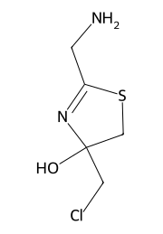 NCC1=NC(O)(CCl)CS1